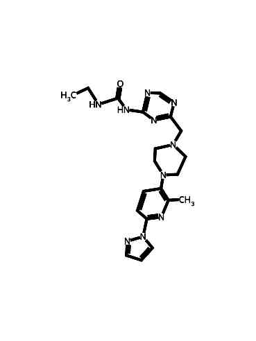 CCNC(=O)Nc1ncnc(CN2CCN(c3ccc(-n4cccn4)nc3C)CC2)n1